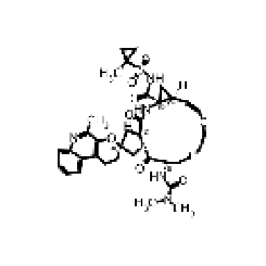 Cc1nc2ccccc2c2c1O[C@]1(CC2)C[C@H]2C(=O)N[C@]3(C(=O)NS(=O)(=O)C4(C)CC4)C[C@H]3C=CCCCCC[C@H](NC(=O)N(C)C)C(=O)N2C1